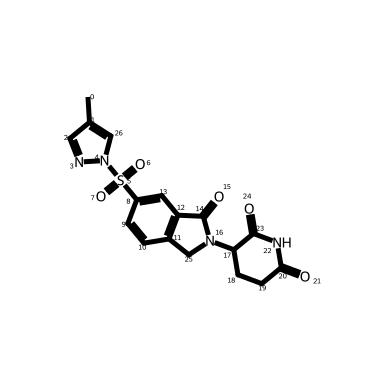 Cc1cnn(S(=O)(=O)c2ccc3c(c2)C(=O)N(C2CCC(=O)NC2=O)C3)c1